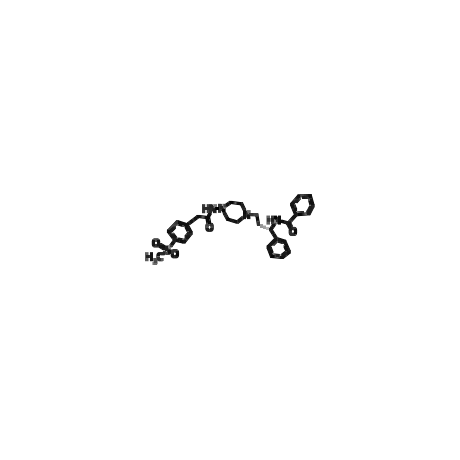 CS(=O)(=O)c1ccc(CC(=O)NN2CCN(CC[C@H](NC(=O)c3ccccc3)c3ccccc3)CC2)cc1